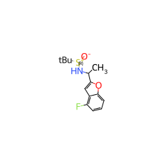 CC(N[S@@+]([O-])C(C)(C)C)c1cc2c(F)cccc2o1